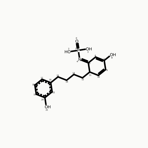 O=P(O)(O)N=C1C=C(O)C=CC1CCCCc1cccc(O)c1